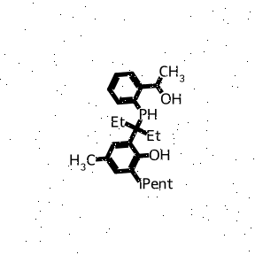 CCCC(C)c1cc(C)cc(C(CC)(CC)Pc2ccccc2C(C)O)c1O